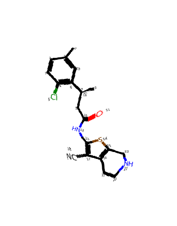 Cc1ccc(Cl)c([C@@H](C)CC(=O)Nc2sc3c(c2C#N)CCNC3)c1